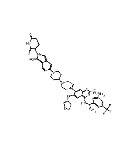 Cc1nc(N[C@H](C)c2cc(N)cc(C(F)(F)F)c2)c2cc(O[C@H]3CCOC3)c(N3CCN(C4CCN(c5ccc6c(O)n(C7CCC(=O)NC7=O)cc6c5)CC4)CC3)cc2n1